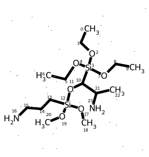 CCO[Si](OCC)(OCC)C(O[Si](CCCN)(OC)OC)C(C)N